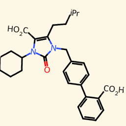 CC(C)CCc1c(C(=O)O)n(C2CCCCC2)c(=O)n1Cc1ccc(-c2ccccc2C(=O)O)cc1